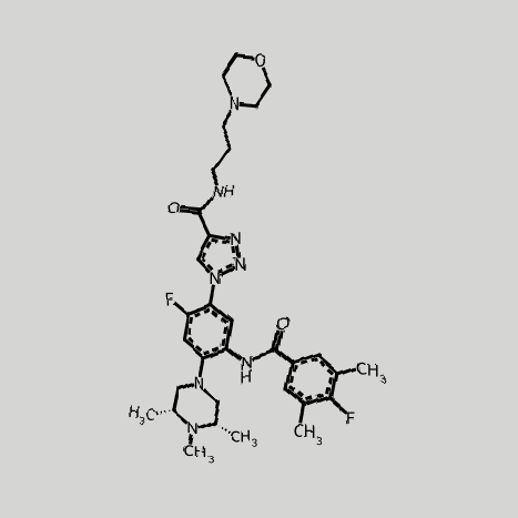 Cc1cc(C(=O)Nc2cc(-n3cc(C(=O)NCCCN4CCOCC4)nn3)c(F)cc2N2C[C@@H](C)N(C)[C@@H](C)C2)cc(C)c1F